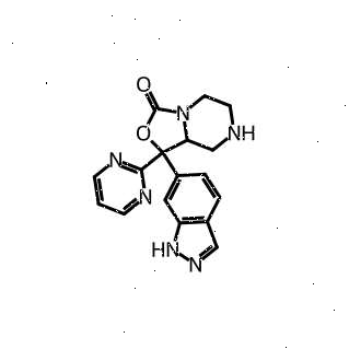 O=C1OC(c2ccc3cn[nH]c3c2)(c2ncccn2)C2CNCCN12